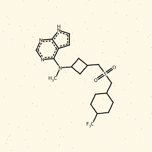 CN(c1ncnc2[nH]ccc12)C1CC(CS(=O)(=O)CC2CCC(C(F)(F)F)CC2)C1